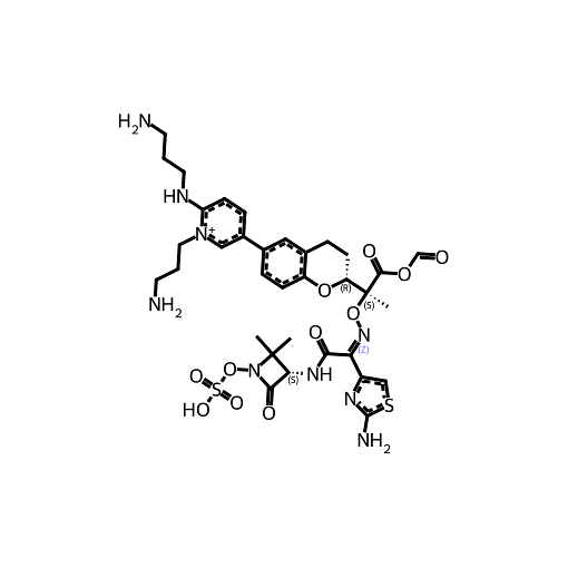 CC1(C)[C@H](NC(=O)/C(=N\O[C@](C)(C(=O)OC=O)[C@H]2CCc3cc(-c4ccc(NCCCN)[n+](CCCN)c4)ccc3O2)c2csc(N)n2)C(=O)N1OS(=O)(=O)O